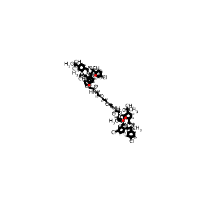 CCOc1cc(C(C)(C)C)ccc1C1=N[C@@](C)(c2ccc(Cl)cc2)[C@@](C)(c2ccc(Cl)cc2)N1C(=O)N1CCN(CC(=O)NCCOCCOCCNC(=O)CN2CCN(C(=O)N3C(c4ccc(C(C)(C)C)cc4OCC)=N[C@](C)(c4ccc(Cl)cc4)[C@]3(C)c3ccc(Cl)cc3)CC2)CC1